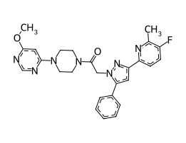 COc1cc(N2CCN(C(=O)Cn3nc(-c4ccc(F)c(C)n4)cc3-c3ccccc3)CC2)ncn1